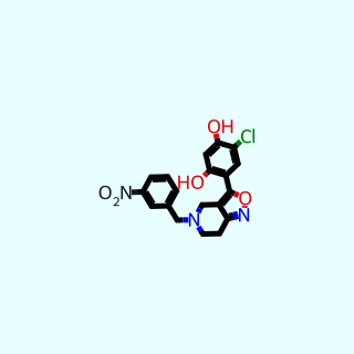 O=[N+]([O-])c1cccc(CN2CCc3noc(-c4cc(Cl)c(O)cc4O)c3C2)c1